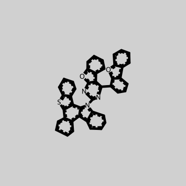 c1ccc2c(c1)oc1c(-c3nc(-n4c5ccccc5c5c6ccccc6c6sc7ccccc7c6c54)nc4oc5ccccc5c34)cccc12